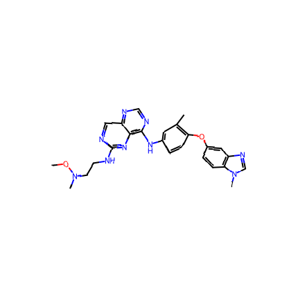 CON(C)CCNc1ncc2ncnc(Nc3ccc(Oc4ccc5c(c4)ncn5C)c(C)c3)c2n1